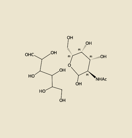 CC(=O)N[C@H]1C(O)O[C@H](CO)[C@H](O)[C@@H]1O.O=CC(O)C(O)C(O)C(O)CO